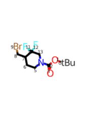 CC(C)(C)OC(=O)N1CCC(CBr)C(F)(F)C1